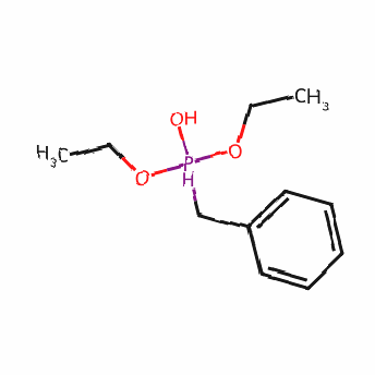 CCO[PH](O)(Cc1ccccc1)OCC